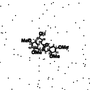 COc1ccc(CN(Cc2ccc(OC)cc2OC)[S+]([O-])CCCO)c(OC)c1